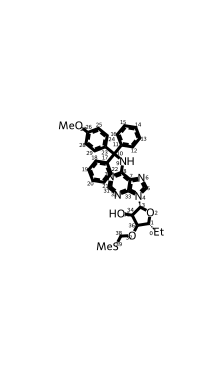 CC[C@H]1O[C@@H](n2cnc3c(NC(c4ccccc4)(c4ccccc4)c4ccc(OC)cc4)ncnc32)C(O)C1OCSC